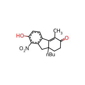 CCCCC12CCC(=O)C(C)=C1c1ccc(O)c([N+](=O)[O-])c1C2